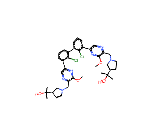 COc1nc(-c2cccc(-c3cccc(-c4cnc(CN5CC[C@@H](C(C)(C)O)C5)c(OC)n4)c3Cl)c2Cl)cnc1CN1CC[C@@H](C(C)(C)O)C1